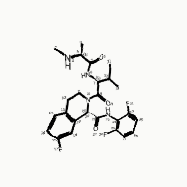 CN[C@@H](C)C(=O)N[C@H](C(=O)N1CCc2ccc(F)cc2[C@H]1C(=O)Nc1c(F)cccc1F)C(C)C